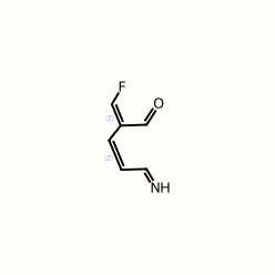 N=C/C=C\C(C=O)=C\F